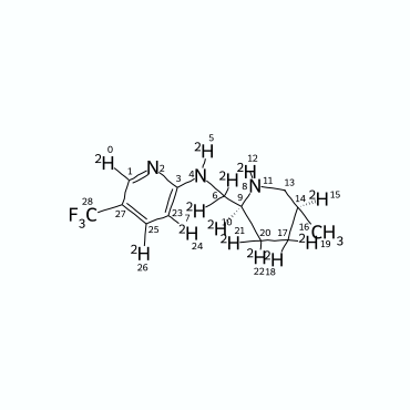 [2H]c1nc(N([2H])C([2H])([2H])[C@@]2([2H])N([2H])C[C@@]([2H])(C)C([2H])([2H])C2([2H])[2H])c([2H])c([2H])c1C(F)(F)F